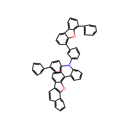 c1ccc(-c2ccc(N(c3cccc(-c4cccc5c4oc4c(-c6ccccc6)cccc45)c3)c3ccccc3-c3cccc4c3oc3c5ccccc5ccc43)cc2)cc1